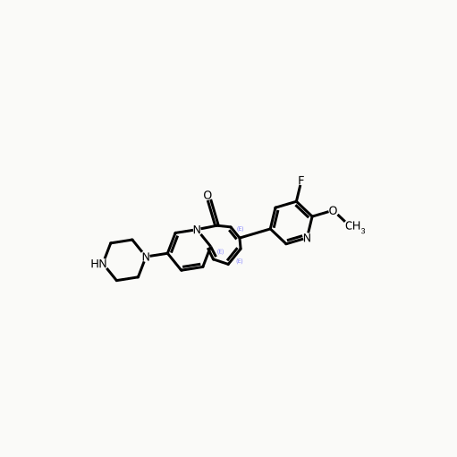 COc1ncc(C2=C\C(=O)N3C=C(N4CCNCC4)C=C\C3=C/C=C/2)cc1F